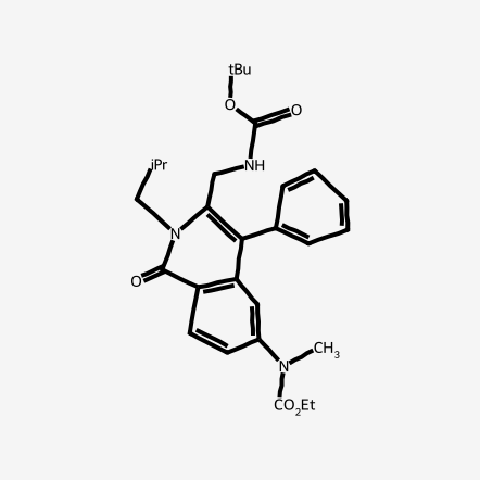 CCOC(=O)N(C)c1ccc2c(=O)n(CC(C)C)c(CNC(=O)OC(C)(C)C)c(-c3ccccc3)c2c1